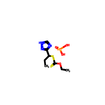 CCOC(=S)SC(CC)c1nc[nH]n1.O=[PH](O)O